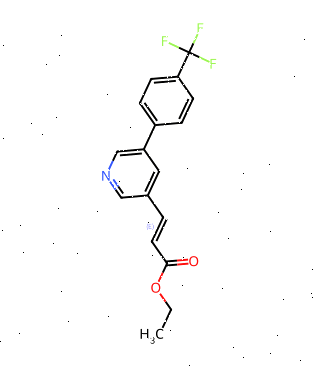 CCOC(=O)/C=C/c1cncc(-c2ccc(C(F)(F)F)cc2)c1